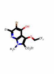 CCOC(=O)c1c(OCC(F)(F)F)c2c(O)c(Br)c(CC)nc2n1C